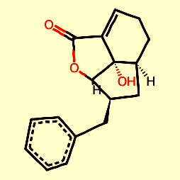 O=C1O[C@@H]2[C@H](Cc3ccccc3)C[C@@H]3CCC=C1[C@@]32O